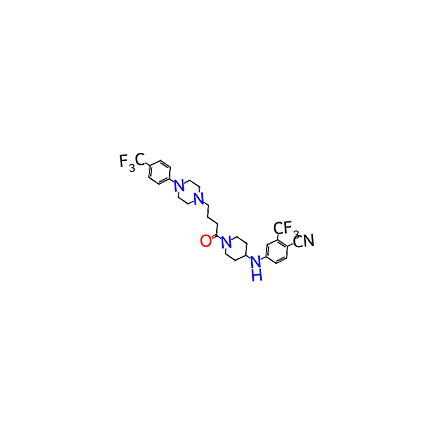 N#Cc1ccc(NC2CCN(C(=O)CCCN3CCN(c4ccc(C(F)(F)F)cc4)CC3)CC2)cc1C(F)(F)F